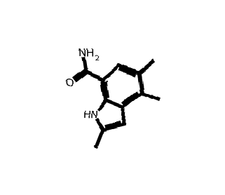 Cc1cc2c(C)c(C)cc(C(N)=O)c2[nH]1